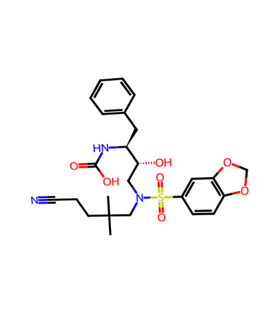 CC(C)(CCC#N)CN(C[C@@H](O)[C@H](Cc1ccccc1)NC(=O)O)S(=O)(=O)c1ccc2c(c1)OCO2